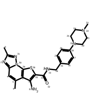 Cc1nc2cc(C)c3c(N)c(C(=O)NCc4ccc(N5CCN(C)CC5)cc4)sc3n2n1